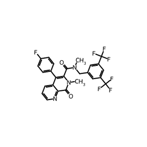 CN(Cc1cc(C(F)(F)F)cc(C(F)(F)F)c1)C(=O)c1c(-c2ccc(F)cc2)c2cccnc2c(=O)n1C